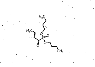 CC=CC(=O)P(=O)(OCCCC)OCCCC